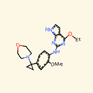 CCOc1nc(Nc2ccc(C3(N4CCOCC4)CC3)cc2OC)nc2[nH]ccc12